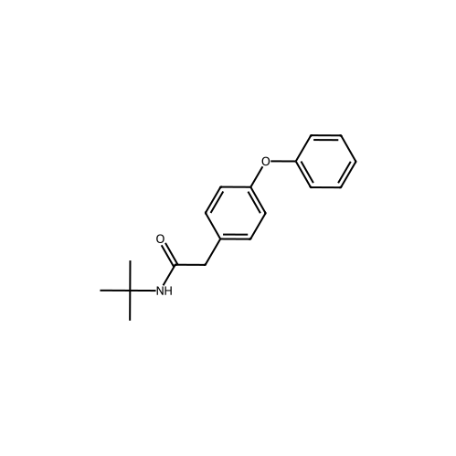 CC(C)(C)NC(=O)Cc1ccc(Oc2ccccc2)cc1